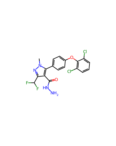 Cn1nc(C(F)F)c(C(=O)NN)c1-c1ccc(Oc2c(Cl)cccc2Cl)cc1